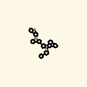 c1ccc(-c2cccc(-n3c4ccc(-c5ccc6c(c5)c5ccccc5n6-c5ccc6sc7ccccc7c6c5)cc4c4c5cccc6c5c(cc43)-c3ccccc3-6)c2)cc1